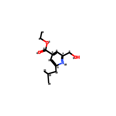 CCOC(=O)c1cc(CO)nc(CC(C)C)c1